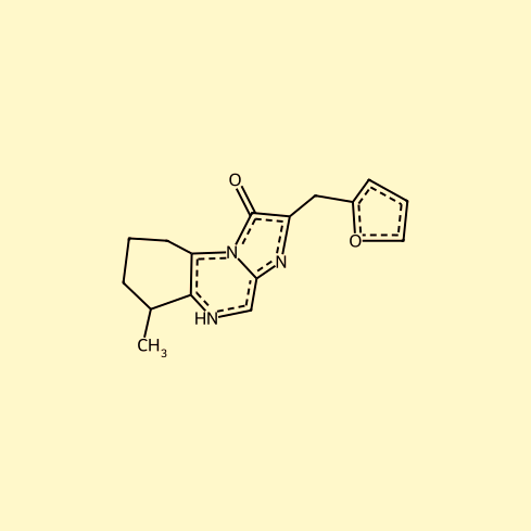 CC1CCCc2c1[nH]cc1nc(Cc3ccco3)c(=O)n2-1